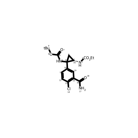 CCOC(=O)N[C@H]1CC1(NC(=O)OC(C)(C)C)c1ccc(Cl)c(C(N)=O)c1